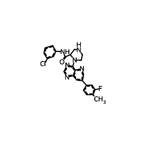 Cc1ccc(-c2cnc3c(N4CCNCC4C(=O)Nc4cccc(Cl)c4)ncnc3c2)cc1F